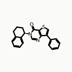 O=c1c2scc(-c3ccccc3)c2ncn1[C@@H]1CCCc2ccccc21